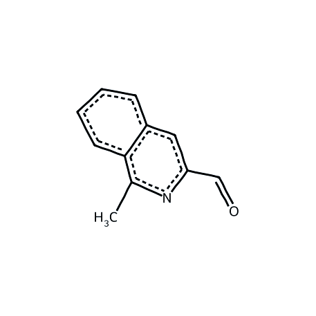 Cc1nc(C=O)cc2ccccc12